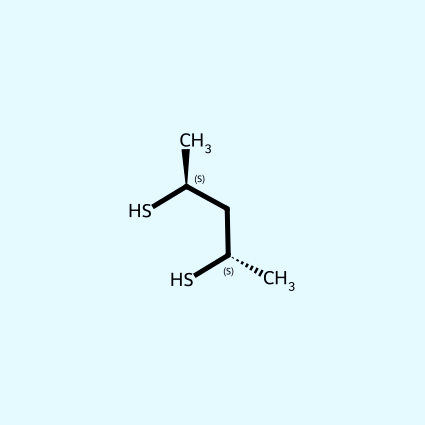 C[C@H](S)C[C@H](C)S